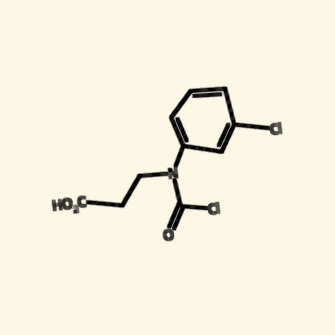 O=C(O)CCN(C(=O)Cl)c1cccc(Cl)c1